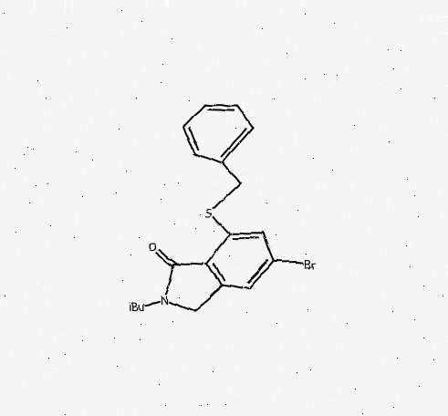 CCC(C)N1Cc2cc(Br)cc(SCc3ccccc3)c2C1=O